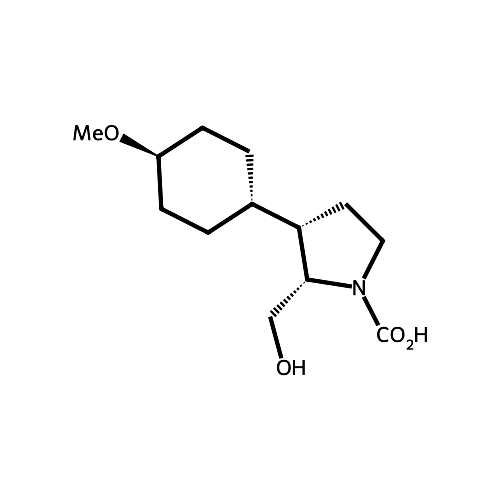 CO[C@H]1CC[C@H]([C@@H]2CCN(C(=O)O)[C@@H]2CO)CC1